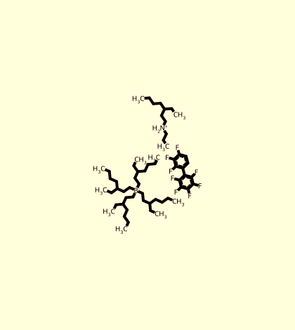 CCCCC(CC)CC[B-](CCC(CC)CCCC)(CCC(CC)CCCC)CCC(CC)CCCC.CCCCC(CC)CC[NH2+]CCC.Fc1ccc(-c2c(F)c(F)c(F)c(F)c2F)c(F)c1F